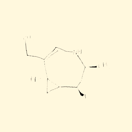 CCC1=CN[C@@H](C)[C@@H](I)C2C[C@@H]12